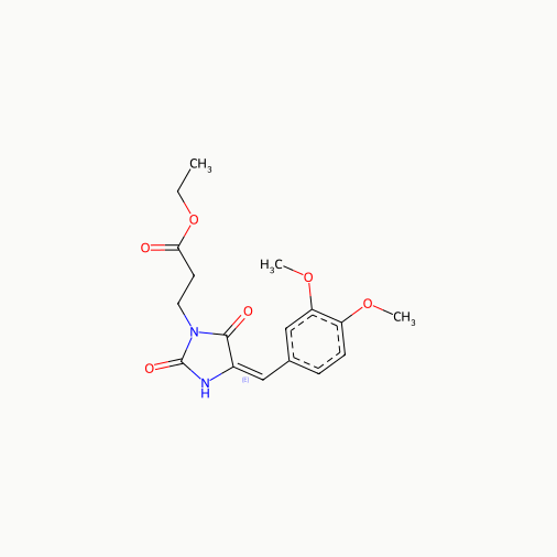 CCOC(=O)CCN1C(=O)N/C(=C/c2ccc(OC)c(OC)c2)C1=O